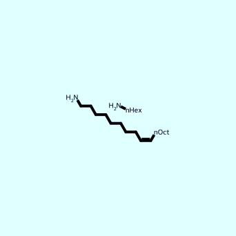 CCCCCCCC/C=C\CCCCCCCCN.CCCCCCN